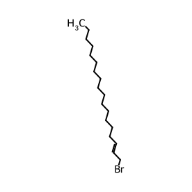 CCCCCCCCCCCCCCCC=CCBr